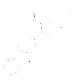 C=C(CN1C(=O)c2ccccc2C1=O)C1CC(O[Si](C)(C)C(C)(C)C)CN1C(=O)OC(C)(C)C